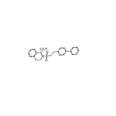 O=C(O)C1c2ccccc2CCN1S(=O)(=O)CCc1ccc(-c2ccccc2)cc1